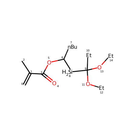 C=C(C)C(=O)OC(CCCC)[SiH2]C(CC)(OCC)OCC